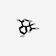 Cl.O=C(O)C1(Cl)NN=C(Cl)c2ccccc21